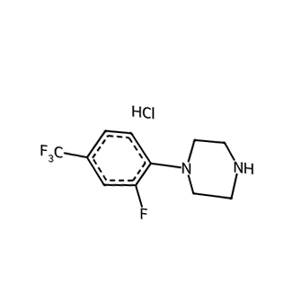 Cl.Fc1cc(C(F)(F)F)ccc1N1CCNCC1